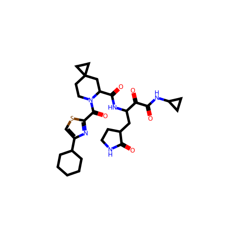 O=C(NC1CC1)C(=O)C(CC1CCNC1=O)NC(=O)C1CC2(CCN1C(=O)c1nc(C3CCCCC3)cs1)CC2